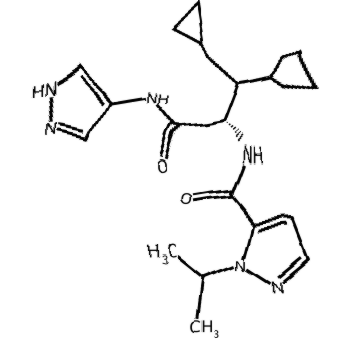 CC(C)n1nccc1C(=O)N[C@H](C(=O)Nc1cn[nH]c1)C(C1CC1)C1CC1